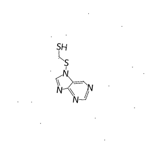 SCSn1cnc2ncncc21